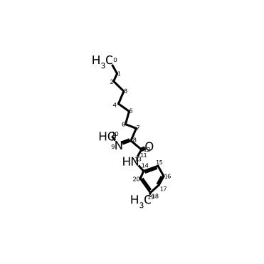 CCCCCCCCC(=NO)C(=O)Nc1cccc(C)c1